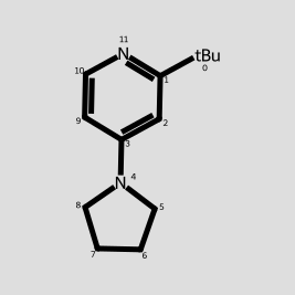 CC(C)(C)c1cc(N2CCCC2)ccn1